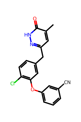 Cc1cc(Cc2ccc(Cl)c(Oc3cccc(C#N)c3)c2)n[nH]c1=O